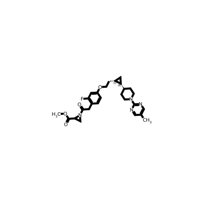 COC(=O)C1CN1C(=O)Cc1ccc(OCC[C@@H]2C[C@@H]2C2CCN(c3ncc(C)cn3)CC2)cc1F